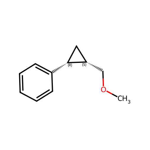 COC[C@H]1C[C@H]1c1ccccc1